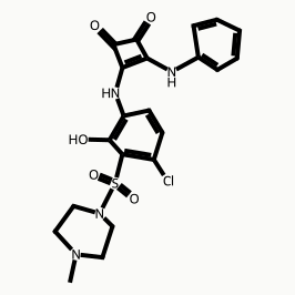 CN1CCN(S(=O)(=O)c2c(Cl)ccc(Nc3c(Nc4ccccc4)c(=O)c3=O)c2O)CC1